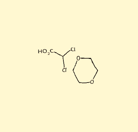 C1COCCO1.O=C(O)C(Cl)Cl